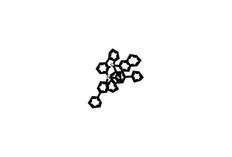 c1ccc(-c2ccc(N(c3ccc(-c4ccccc4)cc3)c3cccc4c3[Si](c3ccc5ccccc5c3)(c3ccc5ccccc5c3)c3ccccc3-4)cc2)cc1